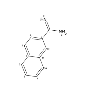 N=C(N)c1ccc2ccc[c]c2c1